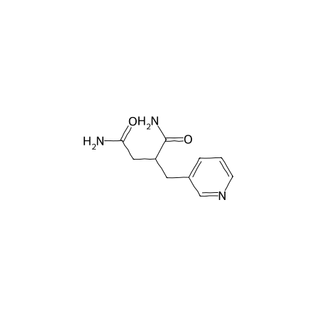 NC(=O)CC(Cc1cccnc1)C(N)=O